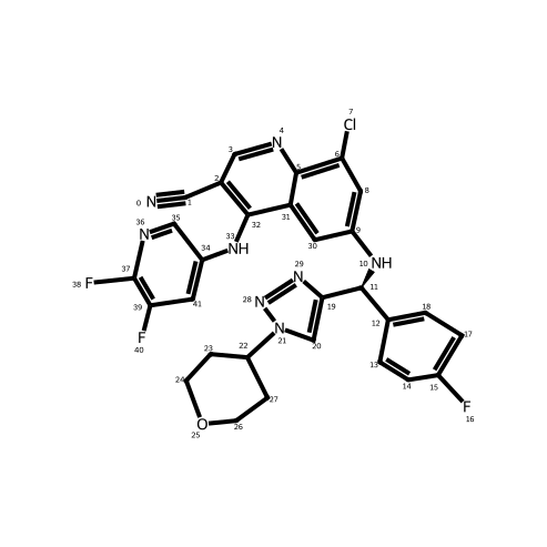 N#Cc1cnc2c(Cl)cc(N[C@@H](c3ccc(F)cc3)c3cn(C4CCOCC4)nn3)cc2c1Nc1cnc(F)c(F)c1